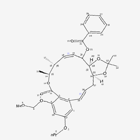 CCCOc1cc2c(c(OCOC)c1)C(=O)O[C@@H](C)[C@H](C)/C=C\C(OC(=O)c1ccccc1)[C@H]1OC(C)(C)O[C@H]1C/C=C/2